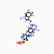 CN1CCN(CCC2=CNC3=CC=CCC23)c2ccc(Nc3ccnc(CO)c3)cc21